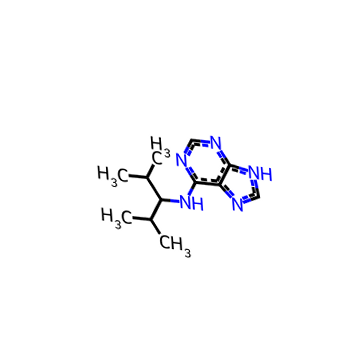 CC(C)C(Nc1ncnc2[nH]cnc12)C(C)C